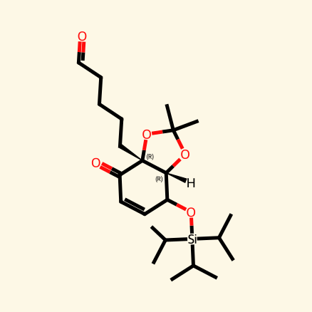 CC(C)[Si](OC1C=CC(=O)[C@]2(CCCCC=O)OC(C)(C)O[C@H]12)(C(C)C)C(C)C